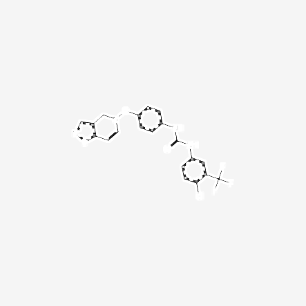 O=C(Nc1ccc(ON2C=Cc3sncc3C2)cc1)Nc1ccc(Cl)c(C(F)(F)F)c1